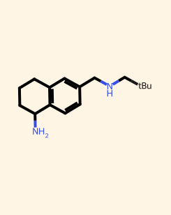 CC(C)(C)CNCc1ccc2c(c1)CCCC2N